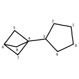 C1CCC(C23CC(C2)C3)C1